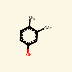 CC(=O)Oc1cc(O)ccc1C(F)(F)F